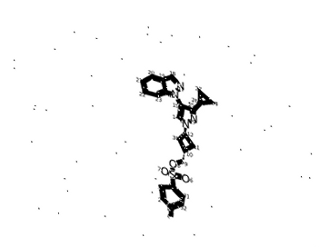 Cc1ccc(S(=O)(=O)OC[C@H]2C[C@H](n3cc(-n4ncc5ccccc54)c(C4CC4)n3)C2)cc1